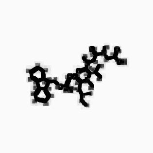 CC[C@H](C)[C@H](NC(=O)OCC1c2ccccc2-c2ccccc21)C(=O)N(C)[C@H](C(=O)N(C)CC(=O)N(C)CC(=O)O)C(C)C